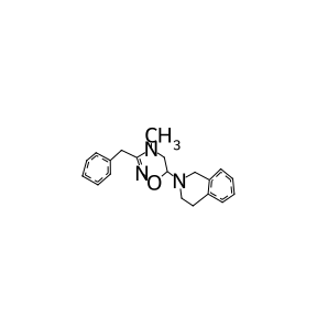 CN1CC(N2CCc3ccccc3C2)ON=C1Cc1ccccc1